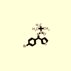 CC(C)(C)[S+]([O-])N=C(c1ccc(Br)cc1)c1ccsc1